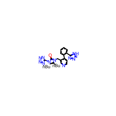 CCCCc1cn(-c2nnnn2CCCC)c(=O)n1Cc1cnccc1-c1ccccc1-c1nnn[nH]1